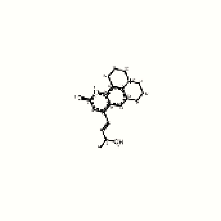 CC(O)/C=C/c1cc(=O)oc2c3c4c(cc12)CCCN4CCC3